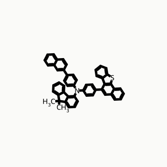 CC1(C)c2ccccc2-c2c(N(c3ccc(-c4ccc5ccccc5c4)cc3)c3ccc(-c4cc5ccccc5c5sc6ccccc6c45)cc3)cccc21